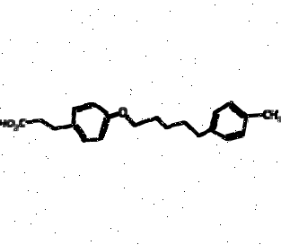 Cc1ccc(CCCCCOc2ccc(CCC(=O)O)cc2)cc1